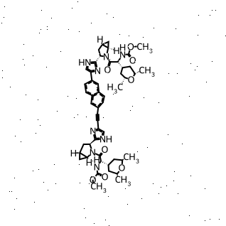 COC(=O)NC(C(=O)N1[C@@H]2C[C@@H]2C[C@H]1c1nc(C#Cc2ccc3cc(-c4c[nH]c([C@@H]5C[C@H]6C[C@H]6N5C(=O)C(NC(=O)OC)[C@H]5C[C@@H](C)O[C@@H](C)C5)n4)ccc3c2)c[nH]1)[C@H]1C[C@@H](C)O[C@@H](C)C1